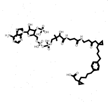 CC(C)(COP(=O)(O)OP(=O)(O)OCC1OC(n2cnc3c(N)ncnc32)C(O)C1OP(=O)(O)O)C(O)C(=O)NCCC(=O)NCCC(=O)CC1(CCCCc2ccc(CCCCC3(CC(=O)O)CC3)cc2)CC1